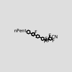 CCCCCC1CCC(c2ccc(C3CCC(C4CCC(C(F)(F)Oc5cc(F)c(C#N)c(F)c5)CC4)CC3)c(F)c2)CC1